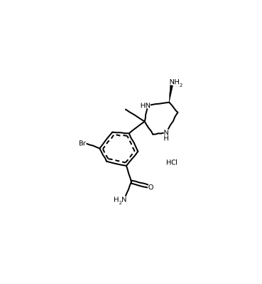 CC1(c2cc(Br)cc(C(N)=O)c2)CNC[C@H](N)N1.Cl